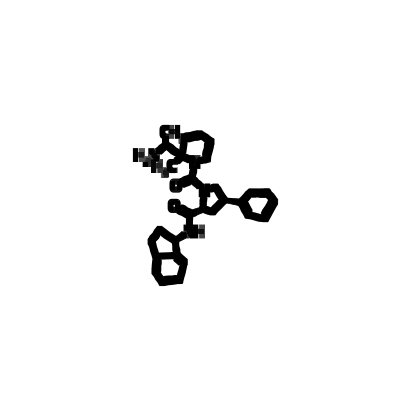 CC(N)C1(C)C=CC=CN1C(=O)N1C[C@@H](c2ccccc2)C[C@H]1C(=O)N[C@@H]1CCc2ccccc21